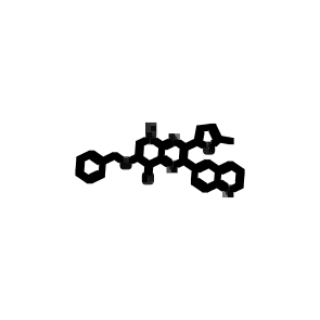 Cc1ccc(-c2nc3[nH]cc(OCc4ccccc4)c(=O)c3nc2-c2ccc3ncccc3c2)o1